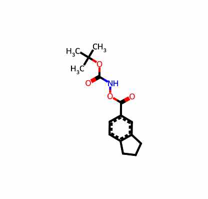 CC(C)(C)OC(=O)NOC(=O)c1ccc2c(c1)CCC2